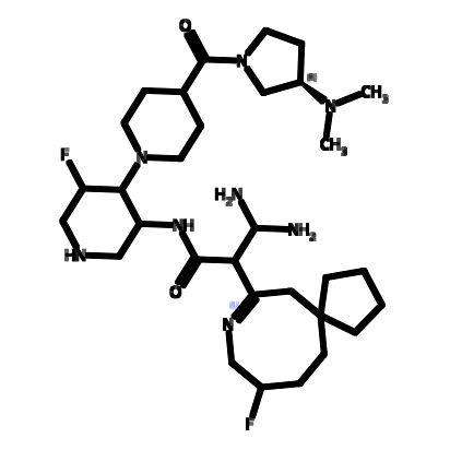 CN(C)[C@@H]1CCN(C(=O)C2CCN(C3C(F)CNCC3NC(=O)C(/C3=N/CC(F)CCC4(CCCC4)C3)C(N)N)CC2)C1